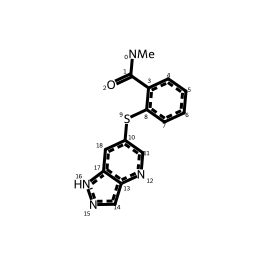 CNC(=O)c1ccccc1Sc1cnc2cn[nH]c2c1